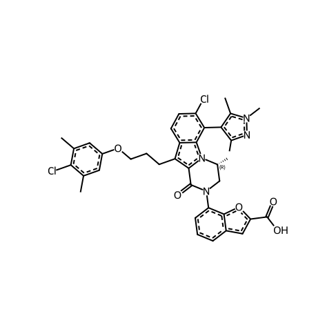 Cc1cc(OCCCc2c3n(c4c(-c5c(C)nn(C)c5C)c(Cl)ccc24)[C@H](C)CN(c2cccc4cc(C(=O)O)oc24)C3=O)cc(C)c1Cl